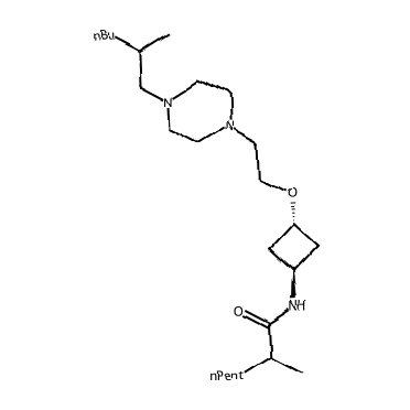 CCCCCC(C)C(=O)N[C@H]1C[C@H](OCCN2CCN(CC(C)CCCC)CC2)C1